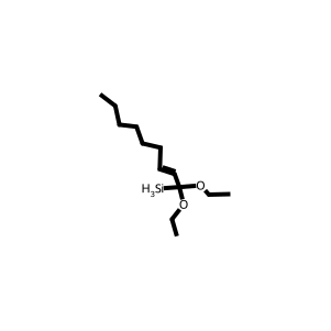 CCCCCCC=CC([SiH3])(OCC)OCC